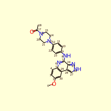 COc1ccc2nc(Nc3ccc(N4CCN(C(C)=O)CC4)cc3)c3n[nH]cc3c2c1